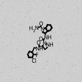 NC(=O)n1cc(NC(=O)N2NCC[C@H]2C(=O)NCc2cccc(Cl)c2F)c2ccccc21